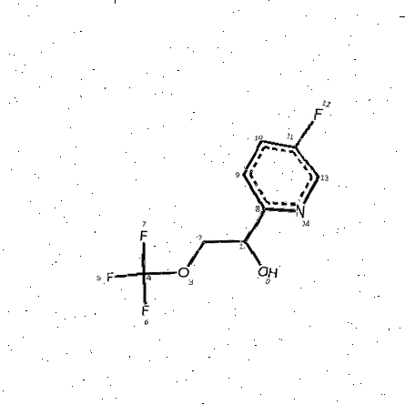 OC(COC(F)(F)F)c1ccc(F)cn1